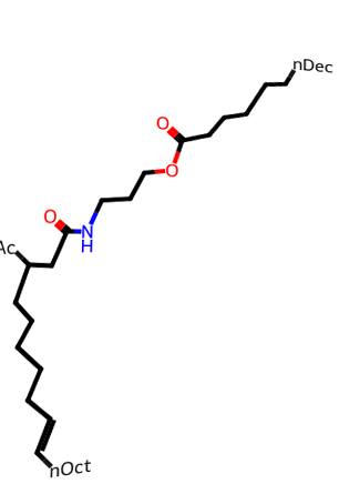 CCCCCCCCC=CCCCCCC(CC(=O)NCCCOC(=O)CCCCCCCCCCCCCCC)C(C)=O